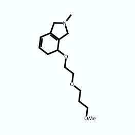 COCCCOCCOC1CC=CC2=C1CN(C)C2